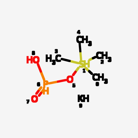 C[SH](C)(C)(C)O[PH](=O)O.[KH]